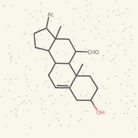 CC(=O)C1CCC2C3CC=C4CC(O)CCC4(C)C3C(C=O)CC12C